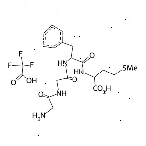 CSCCC(NC(=O)C(Cc1ccccc1)NC(=O)CNC(=O)CN)C(=O)O.O=C(O)C(F)(F)F